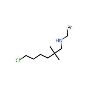 CC(C)CNCC(C)(C)CCCCCl